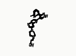 Cc1cccc(-c2n[nH]cc2-c2ccc3ncc(N4CCN(CCO)CC4)cc3n2)n1